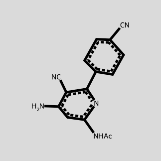 CC(=O)Nc1cc(N)c(C#N)c(-c2ccc(C#N)cc2)n1